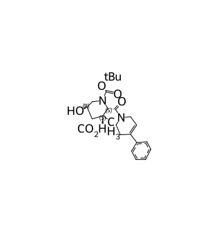 CC(C)(C)OC(=O)N1C[C@H](O)C[C@](C)(C(=O)O)[C@H]1C(=O)N1CC=C(c2ccccc2)CC1